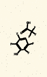 O=C(O)C(F)(F)F.Oc1c(F)c(F)cc(F)c1F